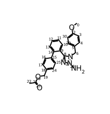 COc1ccc(Cn2c(-c3ccccc3-c3ccc(COC(C)=O)cc3)nn2N)cc1